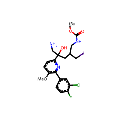 COc1ccc(C(O)(CN)CC(CI)CNC(=O)OC(C)(C)C)nc1-c1ccc(F)c(Cl)c1